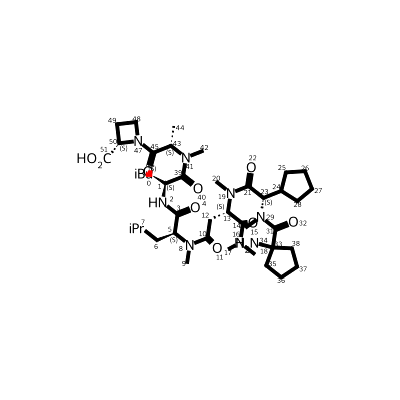 CC[C@H](C)[C@H](NC(=O)[C@H](CC(C)C)N(C)C(=O)C[C@@H](C(=O)N(C)C)N(C)C(=O)[C@H](C1CCCC1)N(C)C(=O)C1(N)CCCC1)C(=O)N(C)[C@@H](C)C(=O)N1CC[C@H]1C(=O)O